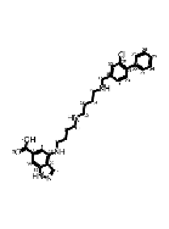 O=C(O)c1cc(NCCCCNCCCCNCc2ccc(-c3ccccc3)c(Cl)c2)c2cn[nH]c2c1